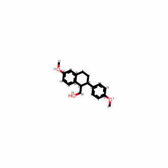 COc1ccc(C2CCc3cc(OC)ccc3C2CO)cc1